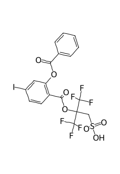 O=C(Oc1cc(I)ccc1C(=O)OC(CS(=O)(=O)O)(C(F)(F)F)C(F)(F)F)c1ccccc1